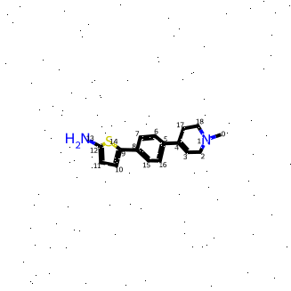 CN1CC=C(c2ccc(-c3ccc(N)s3)cc2)CC1